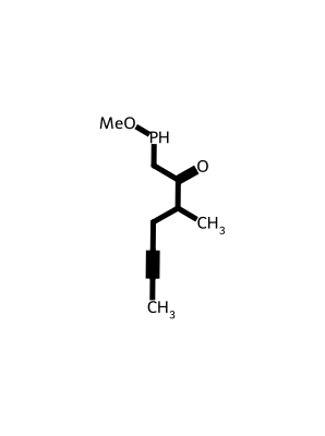 CC#CCC(C)C(=O)CPOC